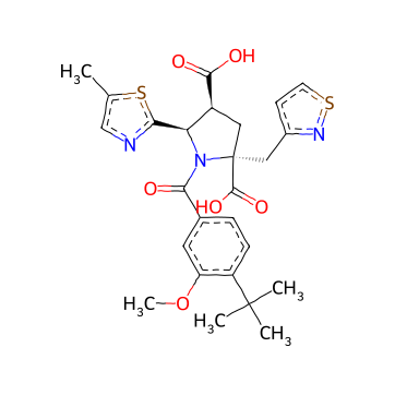 COc1cc(C(=O)N2[C@@H](c3ncc(C)s3)[C@@H](C(=O)O)C[C@@]2(Cc2ccsn2)C(=O)O)ccc1C(C)(C)C